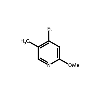 CCc1cc(OC)ncc1C